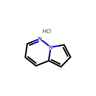 Cl.c1cnn2cccc2c1